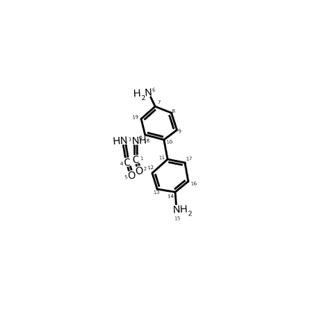 N=C=O.N=C=O.Nc1ccc(-c2ccc(N)cc2)cc1